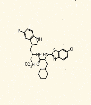 O=C(O)C[C@H](CC1CNc2ccc(F)cc21)NC(=O)[C@H](CC1CCCCC1)Nc1nc2ccc(Cl)cc2s1